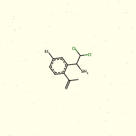 C=C(C)c1ccc(CC)cc1C([SiH3])C(Cl)Cl